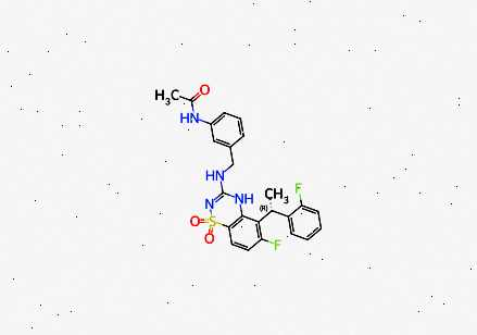 CC(=O)Nc1cccc(CNC2=NS(=O)(=O)c3ccc(F)c([C@H](C)c4ccccc4F)c3N2)c1